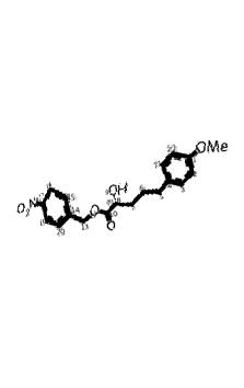 COc1ccc(CCC[C@@H](O)C(=O)OCc2ccc([N+](=O)[O-])cc2)cc1